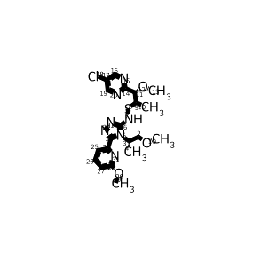 COC[C@H](C)n1c(NSC(C)[C@H](OC)c2ncc(Cl)cn2)nnc1-c1cccc(OC)n1